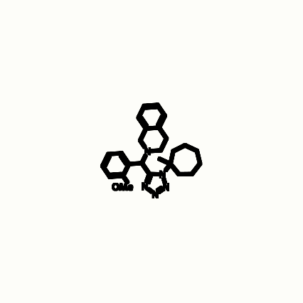 COc1ccccc1C(c1nnnn1C1(C)CCCCCC1)N1CCc2ccccc2C1